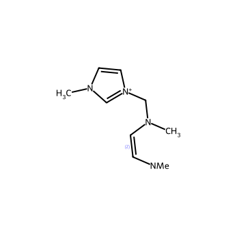 CN/C=C\N(C)C[n+]1ccn(C)c1